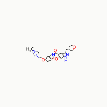 CN1CCN(CCOc2ccc3c(c2)CN(C(=O)c2cc4c(CC5CCOCC5)n[nH]c4cc2O)C3)CC1